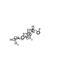 CN1C(=O)[C@@H](NC(=O)c2n[nH]c(Cc3ccccc3F)n2)CSc2cc(C#CC(C)(C)O)ncc21